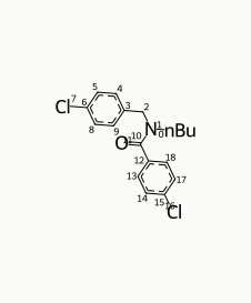 CCCCN(Cc1ccc(Cl)cc1)C(=O)c1ccc(Cl)cc1